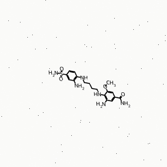 COc1cc(C(N)=O)cc(N)c1NCCCCNc1ccc(S(N)(=O)=O)cc1N